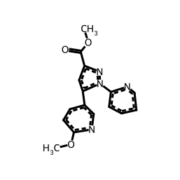 COC(=O)c1cc(-c2ccc(OC)nc2)n(-c2ccccn2)n1